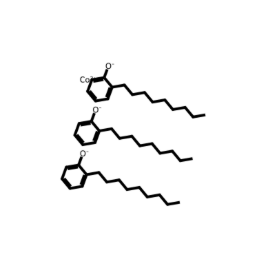 CCCCCCCCCc1ccccc1[O-].CCCCCCCCCc1ccccc1[O-].CCCCCCCCCc1ccccc1[O-].[Co+3]